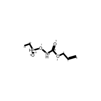 C=CCOC(=O)NO[PH](=O)CC